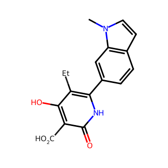 CCc1c(-c2ccc3ccn(C)c3c2)[nH]c(=O)c(C(=O)O)c1O